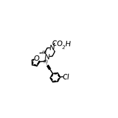 C[C@H]1CN(C(=O)O)CCN1[C@H](C#Cc1cccc(Cl)c1)c1ccco1